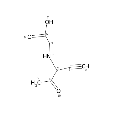 C#CC(NCC(=O)O)C(C)=O